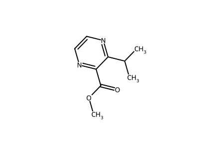 COC(=O)c1nccnc1C(C)C